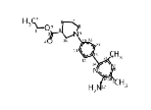 CCOC(=O)[C@H]1CCCN(c2ccc(-c3nc(N)c(C)nc3C)cc2)C1